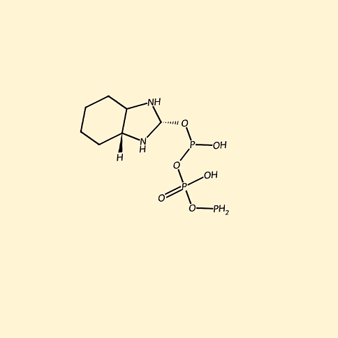 O=P(O)(OP)OP(O)O[C@H]1NC2CCCC[C@H]2N1